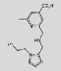 Cc1cc(C(=O)O)cc(CNCc2nccn2CCC(C)C)n1